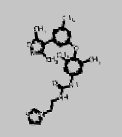 Cc1cc(Oc2c(C)cc(NC(=O)NCCn3ccnc3)cc2C)cc(-c2c(C)noc2C)c1